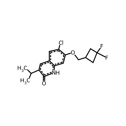 CC(C)c1cc2cc(Cl)c(OCC3CC(F)(F)C3)cc2[nH]c1=O